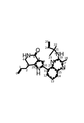 C=CCC1CNC(=O)c2cc(-c3cccc4nc(C)c(NC(C)(C)C=C)nc34)[nH]c21